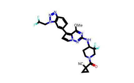 COc1nc(NC2CCN(C(=O)C3(C#N)CC3)CC2(F)F)nn2ccc(-c3ccc4nnn(CC(F)F)c4c3)c12